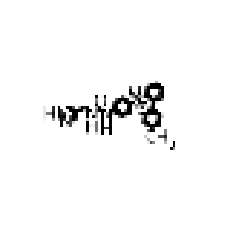 Cc1ccc(-c2ccccc2S(=O)(=O)c2ccc(NC(=O)NCc3cn[nH]c3)cc2)cc1